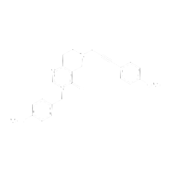 COc1ccc(C#CCN2CCc3ncn(Cc4ccc(SC)cc4)c(=O)c3C2)cc1